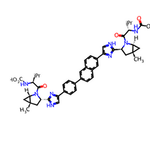 COC(=O)N[C@H](C(=O)N1[C@H]2C[C@]2(C)C[C@H]1c1nc(-c2ccc3cc(-c4ccc(-c5c[nH]c([C@@H]6C[C@]7(C)C[C@@H]7N6C(=O)[C@@H](NC(=O)O)C(C)C)n5)cc4)ccc3c2)c[nH]1)C(C)C